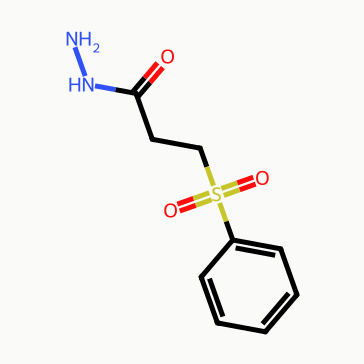 NNC(=O)CCS(=O)(=O)c1ccccc1